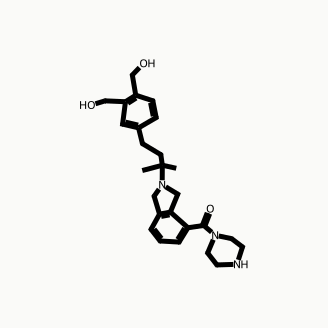 CC(C)(CCc1ccc(CO)c(CO)c1)N1Cc2cccc(C(=O)N3CCNCC3)c2C1